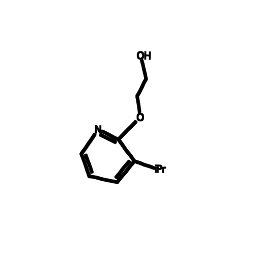 CC(C)c1cccnc1OCCO